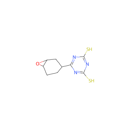 Sc1nc(S)nc(C2CCC3OC3C2)n1